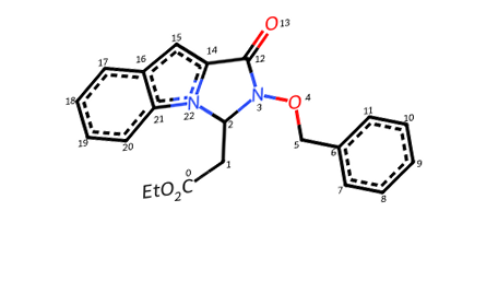 CCOC(=O)CC1N(OCc2ccccc2)C(=O)c2cc3ccccc3n21